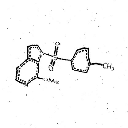 COc1nccc2ccn(S(=O)(=O)c3ccc(C)cc3)c12